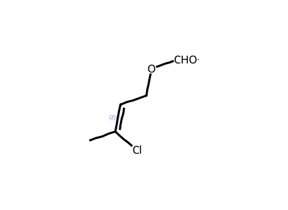 C/C(Cl)=C/CO[C]=O